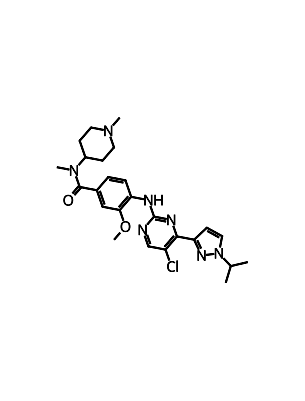 COc1cc(C(=O)N(C)C2CCN(C)CC2)ccc1Nc1ncc(Cl)c(-c2ccn(C(C)C)n2)n1